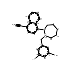 N#Cc1ccc(N2CCCCCN2Cc2cc(F)cc(F)c2)c2ccccc12